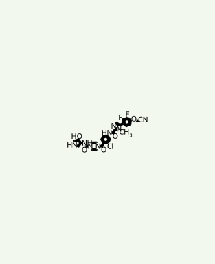 Cn1c(-c2ccc(OCC#N)c(F)c2F)cnc1C(=O)Nc1ccc(C(=O)N2CCN(C(=O)N[C@H]3CNC[C@@H]3O)CC2)c(Cl)c1